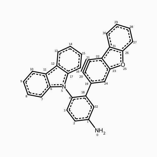 Nc1ccc(-n2c3ccccc3c3ccccc32)c(-c2c#cc3c(c2)oc2ccccc23)c1